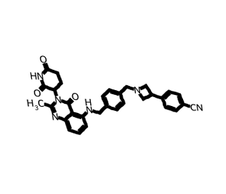 Cc1nc2cccc(NCc3ccc(CN4CC(c5ccc(C#N)cc5)C4)cc3)c2c(=O)n1C1CCC(=O)NC1=O